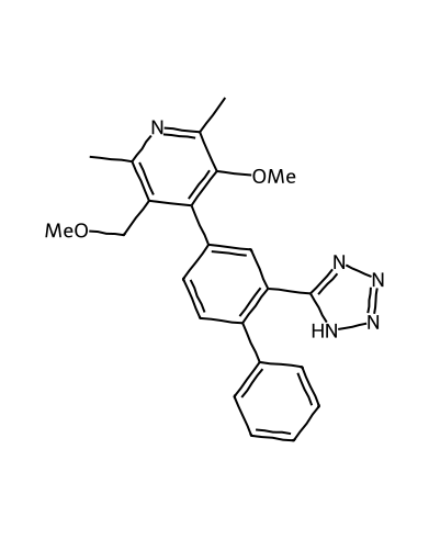 COCc1c(C)nc(C)c(OC)c1-c1ccc(-c2ccccc2)c(-c2nnn[nH]2)c1